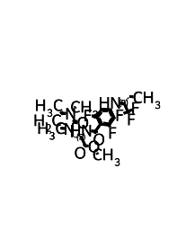 C=C(C)N(C)C(=O)N(C)C[C@H](NC(=O)c1c(F)cc(N[C@H](CC)C(F)(F)F)cc1F)C(=O)OC